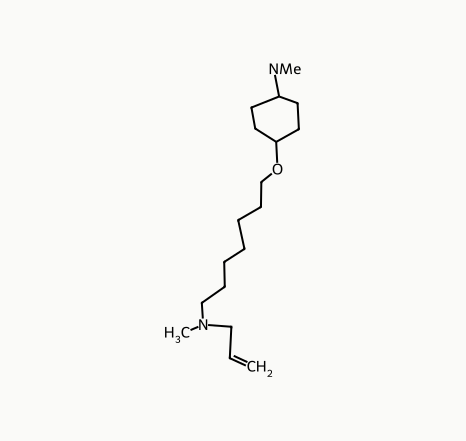 C=CCN(C)CCCCCCCOC1CCC(NC)CC1